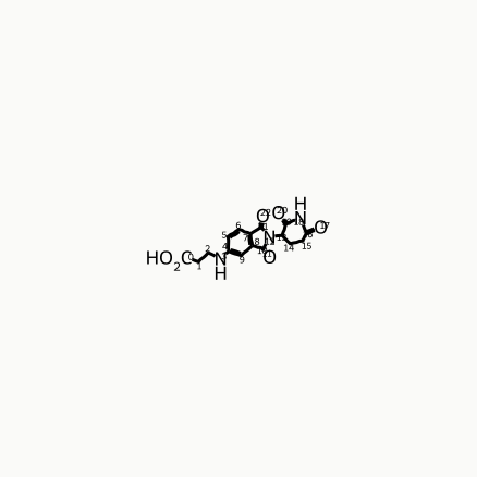 O=C(O)CCNc1ccc2c(c1)C(=O)N(C1CCC(=O)NC1=O)C2=O